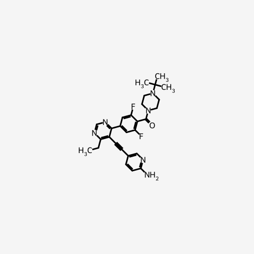 CCc1ncnc(-c2cc(F)c(C(=O)N3CCN(C(C)(C)C)CC3)c(F)c2)c1C#Cc1ccc(N)nc1